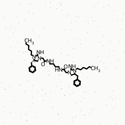 CCCCCCN1C(=N)N(CC(=O)NCCCCNC(=O)CN2C[C@H](Cc3ccccc3)N(CCCCCC)C2=N)CC1Cc1ccccc1